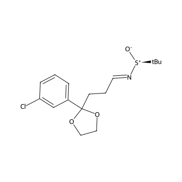 CC(C)(C)[S@+]([O-])N=CCCC1(c2cccc(Cl)c2)OCCO1